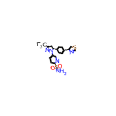 NS(=O)(=O)c1ccc(-n2nc(C(F)(F)F)cc2-c2ccc(-c3cscn3)cc2)cn1